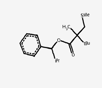 CSCC(C)(C(=O)OC(c1ccccc1)C(C)C)C(C)(C)C